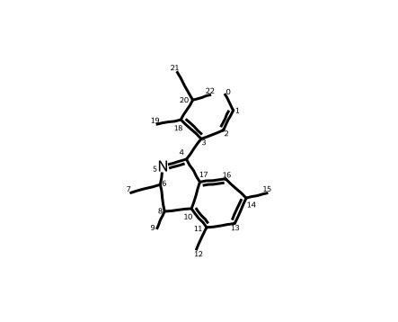 C/C=C\C(C1=NC(C)C(C)c2c(C)cc(C)cc21)=C(\C)C(C)C